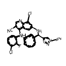 CC(C)n1cc(C(Nc2cc(Cl)c3ncc(C#N)c(Nc4cccc(Cl)c4F)c3c2)c2ccccc2)nn1